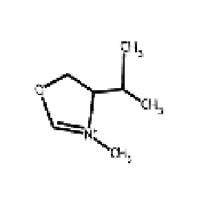 CC(C)C1COC=[N+]1C